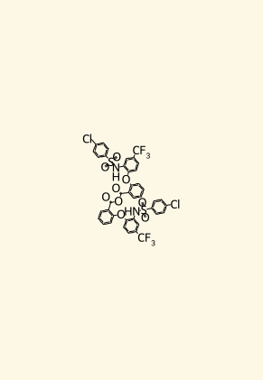 O=C(OC(=O)c1ccccc1Oc1ccc(C(F)(F)F)cc1NS(=O)(=O)c1ccc(Cl)cc1)c1ccccc1Oc1ccc(C(F)(F)F)cc1NS(=O)(=O)c1ccc(Cl)cc1